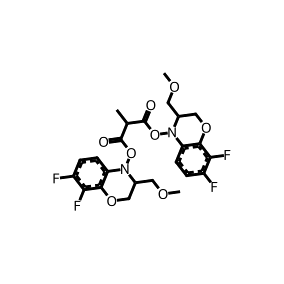 COCC1COc2c(ccc(F)c2F)N1OC(=O)C(C)C(=O)ON1c2ccc(F)c(F)c2OCC1COC